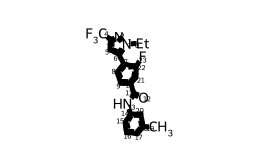 CCn1nc(C(F)(F)F)cc1-c1ccc(C(=O)Nc2cccc(C)c2)cc1F